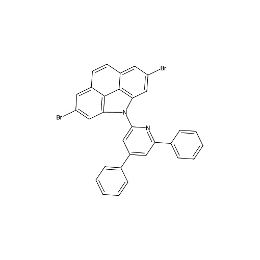 Brc1cc2ccc3cc(Br)cc4c3c2c(c1)n4-c1cc(-c2ccccc2)cc(-c2ccccc2)n1